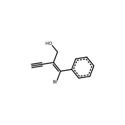 C#CC(CO)=C(Br)c1ccccc1